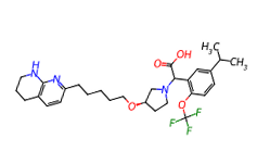 CC(C)c1ccc(OC(F)(F)F)c(C(C(=O)O)N2CC[C@@H](OCCCCCc3ccc4c(n3)NCCC4)C2)c1